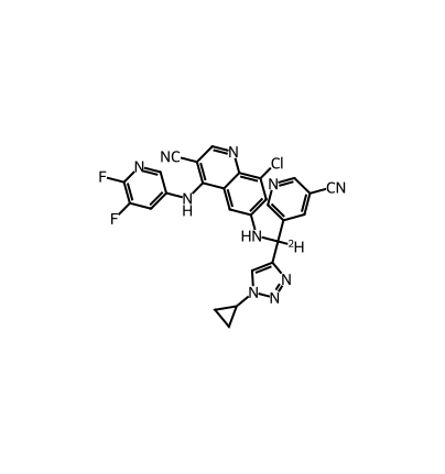 [2H]C(Nc1cc(Cl)c2ncc(C#N)c(Nc3cnc(F)c(F)c3)c2c1)(c1cncc(C#N)c1)c1cn(C2CC2)nn1